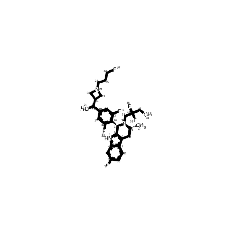 C[C@@H]1Cc2c([nH]c3cc(F)ccc23)[C@@H](c2c(F)cc(C(O)C3CN(CCCF)C3)cc2F)N1CC(F)(F)CO